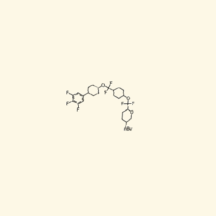 CCCCC1CCC(C(F)(F)OC2CCC(C(F)(F)OC3CCC(c4cc(F)c(F)c(F)c4)CC3)CC2)OC1